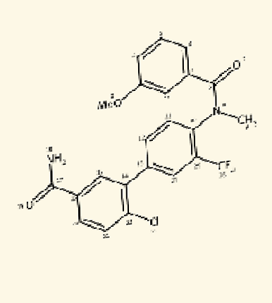 COc1cccc(C(=O)N(C)c2ccc(-c3cc(C(N)=O)ccc3Cl)cc2C(F)(F)F)c1